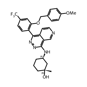 COc1ccc(COc2cc(C(F)(F)F)ccc2-c2nnc(N[C@@H]3CCC[C@@](C)(O)C3)c3cnccc23)cc1